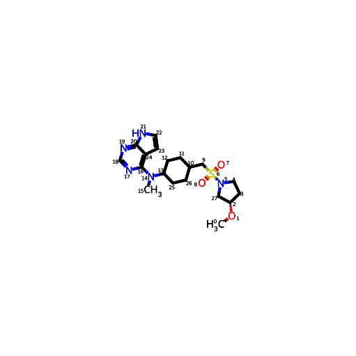 CO[C@@H]1CCN(S(=O)(=O)CC2CCC(N(C)c3ncnc4[nH]ccc34)CC2)C1